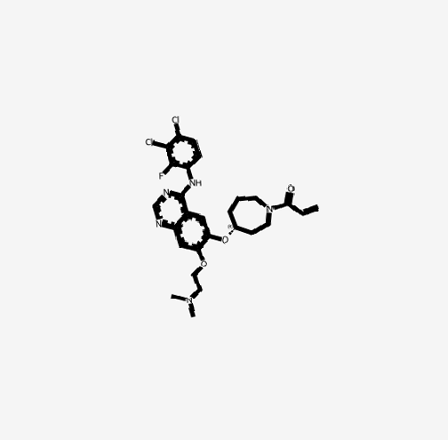 C=CC(=O)N1CCC[C@@H](Oc2cc3c(Nc4ccc(Cl)c(Cl)c4F)ncnc3cc2OCCN(C)C)CC1